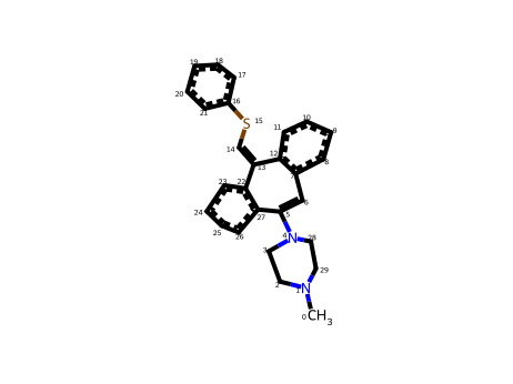 CN1CCN(C2=Cc3ccccc3C(=CSc3ccccc3)c3ccccc32)CC1